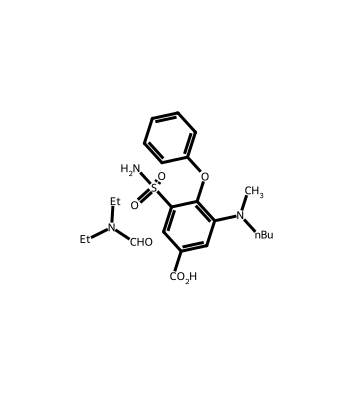 CCCCN(C)c1cc(C(=O)O)cc(S(N)(=O)=O)c1Oc1ccccc1.CCN(C=O)CC